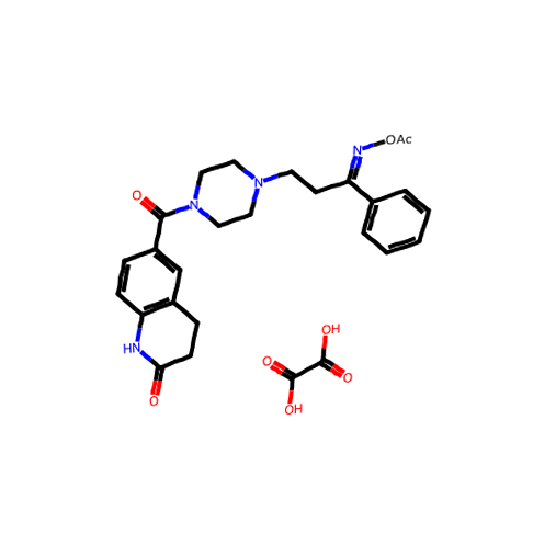 CC(=O)ON=C(CCN1CCN(C(=O)c2ccc3c(c2)CCC(=O)N3)CC1)c1ccccc1.O=C(O)C(=O)O